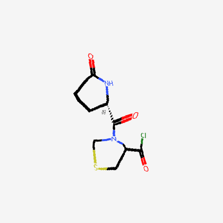 O=C1CC[C@@H](C(=O)N2CSCC2C(=O)Cl)N1